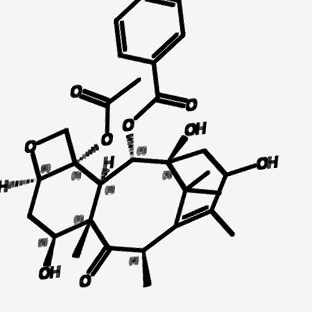 CC(=O)O[C@@]12CO[C@@H]1C[C@H](O)[C@@]1(C)C(=O)[C@H](C)C3=C(C)C(O)C[C@@](O)([C@@H](OC(=O)c4ccccc4)[C@H]21)C3(C)C